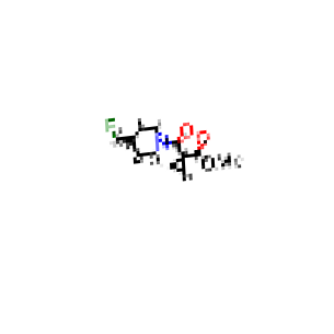 COC(=O)C1(C(=O)N2CCC(=CF)CC2)CC1